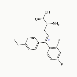 CCc1ccc(/C(=C\CC(N)C(=O)O)c2ccc(F)cc2F)cc1